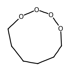 C1CCCOOOOCC1